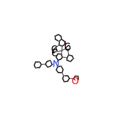 c1ccc(-c2ccc(N(c3ccc(-c4cccc(-c5ccco5)c4)cc3)c3ccc4c(c3)-c3ccccc3-c3ccccc3C43c4ccccc4-c4c3c3ccccc3c3ccccc43)cc2)cc1